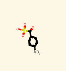 [O]S(=O)(=O)C(=O)c1ccc([N+](=O)[O-])cc1